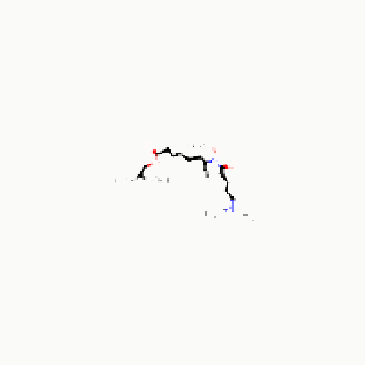 CCCCCCCCCCON(C(=O)CCCCN(C)C)C(CCCCCCCCCC)CCCCCC(=O)OCC(CCCCCC)CCCCCCCC